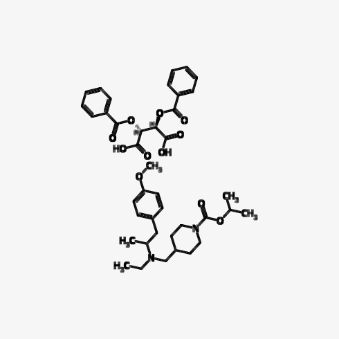 CCN(CC1CCN(C(=O)OC(C)C)CC1)C(C)Cc1ccc(OC)cc1.O=C(O[C@@H](C(=O)O)[C@@H](OC(=O)c1ccccc1)C(=O)O)c1ccccc1